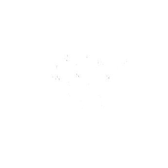 CC(N=C=O)C(C1CCCCC1)n1c(=O)[nH]c(=O)[nH]c1=O